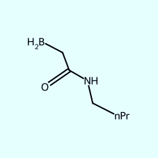 BCC(=O)NCCCC